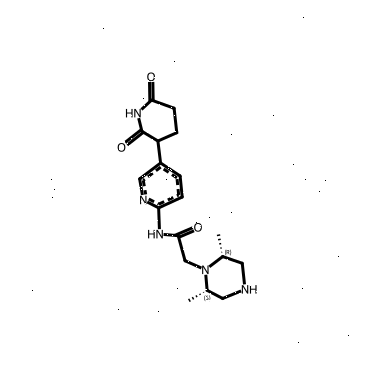 C[C@@H]1CNC[C@H](C)N1CC(=O)Nc1ccc(C2CCC(=O)NC2=O)cn1